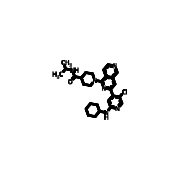 CC(C)NC(=O)C1CCN(c2nc(-c3cc(NC4CCCCC4)ncc3Cl)cc3cnccc23)CC1